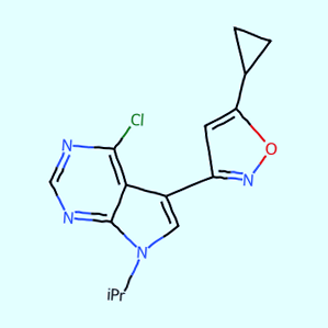 CC(C)n1cc(-c2cc(C3CC3)on2)c2c(Cl)ncnc21